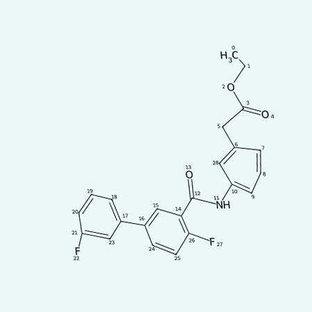 CCOC(=O)Cc1cccc(NC(=O)c2cc(-c3cccc(F)c3)ccc2F)c1